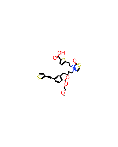 COCCOCOC(CCN1C=CSC(=O)N1CCc1ccc(C(=O)O)s1)Cc1cccc(C#Cc2ccsc2)c1